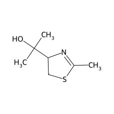 CC1=NC(C(C)(C)O)CS1